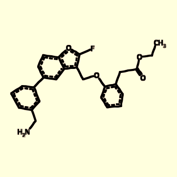 CCOC(=O)Cc1ccccc1OCc1c(F)oc2ccc(-c3cccc(CN)c3)cc12